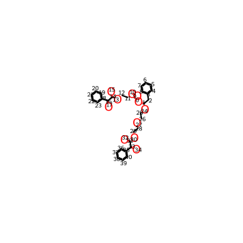 O=C(Cc1ccccc1OOCCOC(=O)C(=O)c1ccccc1)OCCOCCOC(=O)C(=O)c1ccccc1